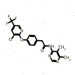 Cc1ncnc(NC(=O)Cc2ccc(Oc3ncc(C(F)(F)F)cc3Cl)cc2)c1C